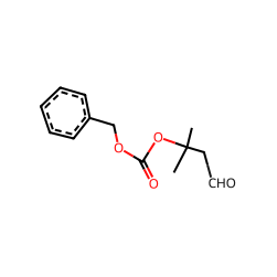 CC(C)(CC=O)OC(=O)OCc1ccccc1